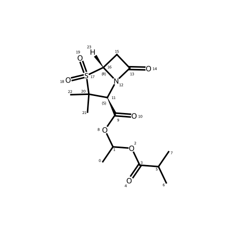 CC(OC(=O)C(C)C)OC(=O)[C@@H]1N2C(=O)C[C@H]2S(=O)(=O)C1(C)C